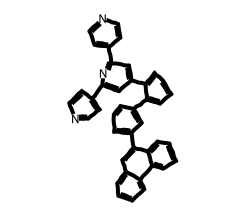 c1cc(-c2ccccc2-c2cc(-c3ccncc3)nc(-c3ccncc3)c2)cc(-c2cc3ccccc3c3ccccc23)c1